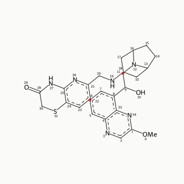 COc1cnc2cccc(C(O)CN3C4CCC3CC(NCc3ccc5c(n3)NC(=O)CS5)C4)c2n1